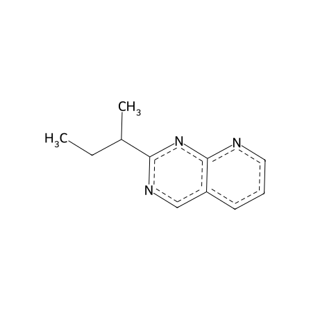 CCC(C)c1ncc2cccnc2n1